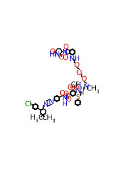 CN(CCOCCOCCOCCNc1cccc2c1C(=O)N(C1CCC(=O)NC1=O)C2=O)CC[C@H](CSc1ccccc1)Nc1ccc(S(=O)(=O)NC(=O)c2ccc(N3CCN(CC4=C(c5ccc(Cl)cc5)CC(C)(C)CC4)CC3)cc2)cc1S(=O)(=O)C(F)(F)F